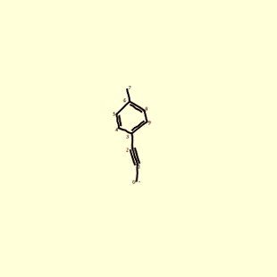 [CH2]C#Cc1ccc(C)cc1